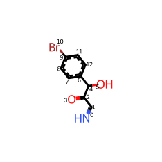 N=CC(=O)C(O)c1ccc(Br)cc1